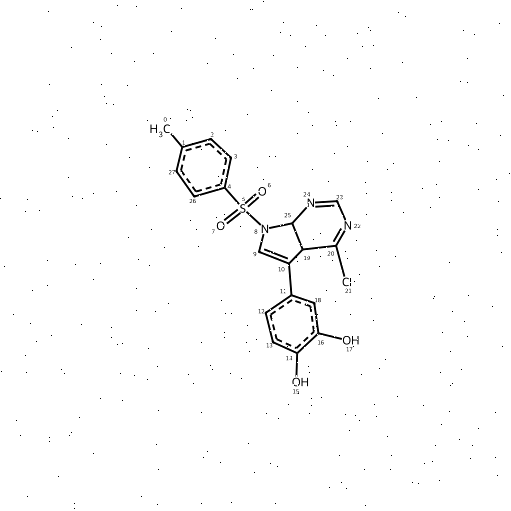 Cc1ccc(S(=O)(=O)N2C=C(c3ccc(O)c(O)c3)C3C(Cl)=NC=NC32)cc1